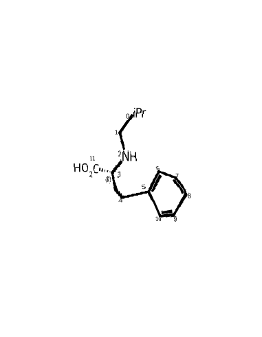 CC(C)CN[C@H](Cc1ccccc1)C(=O)O